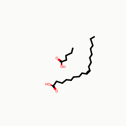 CCCCC(=O)O.CCCCCCCC/C=C\CCCCCCCC(=O)O